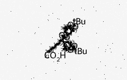 CC(C)(C)C(=O)ON1C(C)(C)CC(OC(=O)C(CCCCCCCC(=O)O)C2CC(C)(C)N(OC(=O)C(C)(C)C)C(C)(C)C2)CC1(C)C